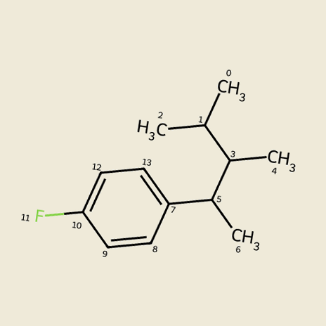 CC(C)C(C)C(C)c1ccc(F)cc1